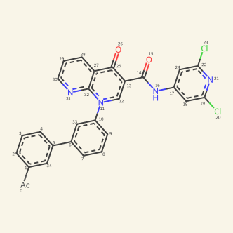 CC(=O)c1cccc(-c2cccc(-n3cc(C(=O)Nc4cc(Cl)nc(Cl)c4)c(=O)c4cccnc43)c2)c1